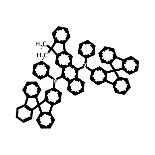 CC1(C)c2ccccc2-c2cc3c(N(c4ccccc4)c4ccc5c(c4)C4(c6ccccc6-c6ccccc64)c4ccccc4-5)c4ccccc4c(N(c4ccccc4)c4ccc5c(c4)C4(C6=C(CCC=C6)c6ccccc64)c4ccccc4-5)c3cc21